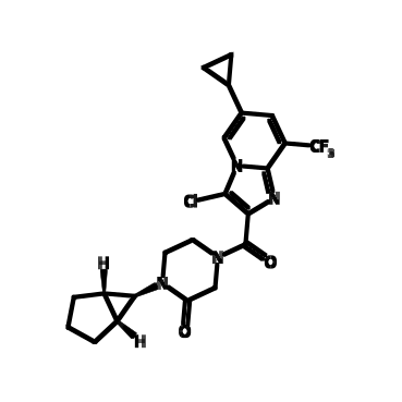 O=C(c1nc2c(C(F)(F)F)cc(C3CC3)cn2c1Cl)N1CCN([C@H]2[C@@H]3CCC[C@@H]32)C(=O)C1